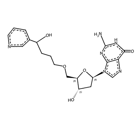 Nc1nc2c(ncn2[C@H]2C[C@H](O)[C@@H](COCCCC(O)c3cccnc3)O2)c(=O)[nH]1